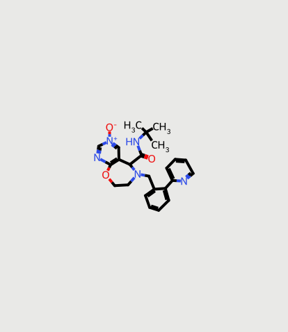 CC(C)(C)NC(=O)C1c2c[n+]([O-])cnc2OCCN1Cc1ccccc1-c1ccccn1